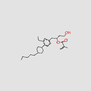 C=C(C)C(=O)OC(CCO)Cc1ccc(C2CCC(CCCCC)CC2)c(CC)c1